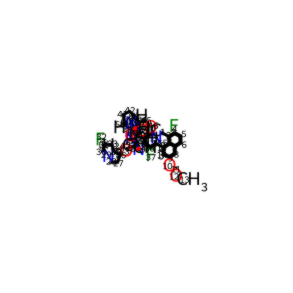 C#Cc1c(F)ccc2cc(OCOC)cc(-c3nc4c5c(nc(OC[C@]67CCCN6C[C@H](F)C7)nc5c3F)N3C[C@@H]5CC[C@H]([C@H]3CO4)N5C(=O)OC(C)(C)C)c12